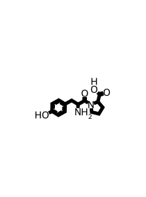 NC(Cc1ccc(O)cc1)C(=O)N1CCCC1C(=O)O